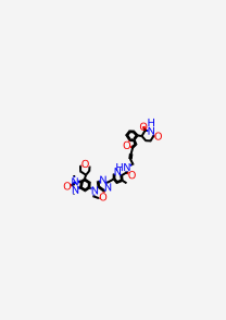 Cc1cc(-c2ncc3c(n2)OCCN3c2cc(C3CCOCC3)c3c(c2)n(C)c(=O)n3C)cnc1C(=O)NCC#Cc1cc2c(C3CCC(=O)NC3=O)cccc2o1